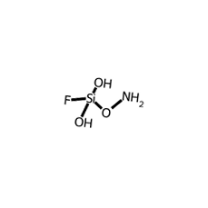 NO[Si](O)(O)F